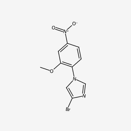 COc1cc([N+](=O)[O-])ccc1-n1cnc(Br)c1